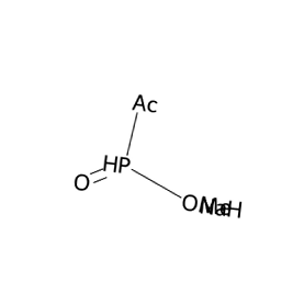 CO[PH](=O)C(C)=O.[NaH]